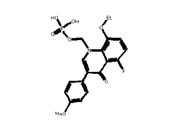 CCOc1ccc(F)c2c(=O)c(-c3ccc(OC)cc3)cn(COP(=O)(O)O)c12